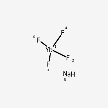 [F][Yb]([F])([F])[F].[NaH]